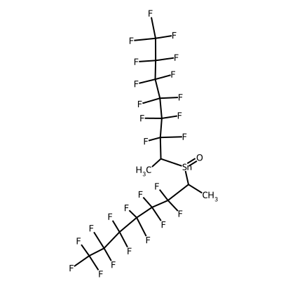 C[CH]([Sn](=[O])[CH](C)C(F)(F)C(F)(F)C(F)(F)C(F)(F)C(F)(F)C(F)(F)F)C(F)(F)C(F)(F)C(F)(F)C(F)(F)C(F)(F)C(F)(F)F